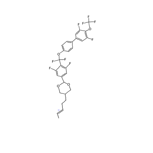 C/C=C/CCC1COC(c2cc(F)c(C(F)(F)Oc3ccc(-c4cc(F)c(OC(F)(F)F)c(F)c4)cc3)c(F)c2)OC1